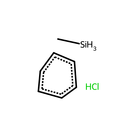 C[SiH3].Cl.c1ccccc1